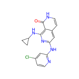 O=c1[nH]ccc2cc(Nc3cc(Cl)ccn3)nc(NC3CC3)c12